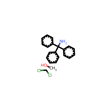 CO.ClCCl.NC(c1ccccc1)(c1ccccc1)c1ccccc1